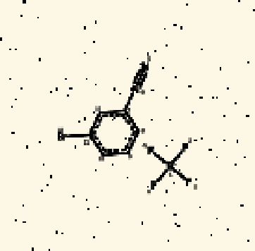 F[B-](F)(F)F.N#[N+]c1cccc(Br)c1